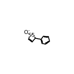 [O-][S+]1C=CC(c2ccccc2)S1